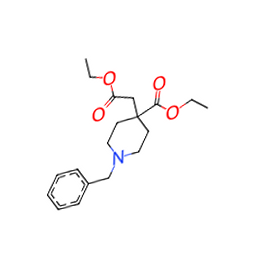 CCOC(=O)CC1(C(=O)OCC)CCN(Cc2ccccc2)CC1